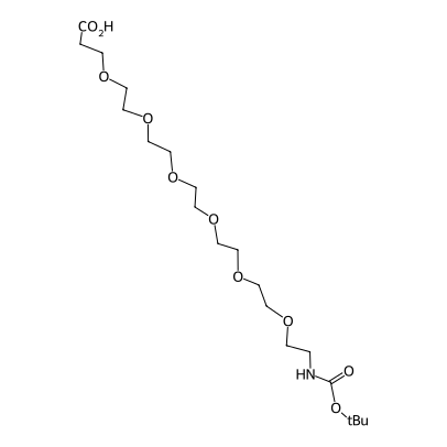 CC(C)(C)OC(=O)NCCOCCOCCOCCOCCOCCOCCC(=O)O